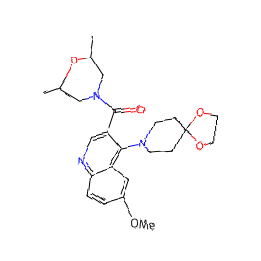 COc1ccc2ncc(C(=O)N3CC(C)OC(C)C3)c(N3CCC4(CC3)OCCO4)c2c1